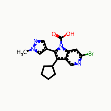 Cn1cc(-c2c(C3CCCC3)c3cnc(Br)cc3n2C(=O)O)cn1